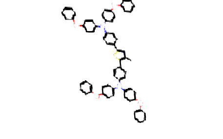 Cc1cc(-c2ccc(N(c3ccc(Oc4ccccc4)cc3)c3ccc(Oc4ccccc4)cc3)cc2)sc1-c1ccc(N(c2ccc(Oc3ccccc3)cc2)c2ccc(Oc3ccccc3)cc2)cc1